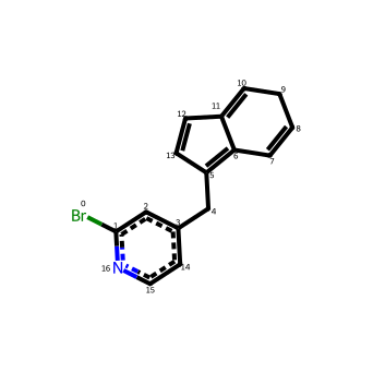 Brc1cc(CC2=C3C=CCC=C3C=C2)ccn1